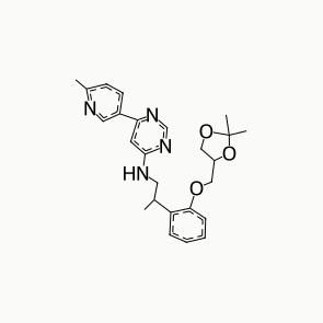 Cc1ccc(-c2cc(NCC(C)c3ccccc3OCC3COC(C)(C)O3)ncn2)cn1